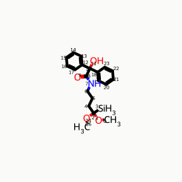 COC([SiH3])(CCCNC(=O)C(O)(c1ccccc1)c1ccccc1)OC